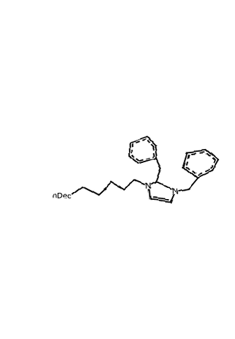 CCCCCCCCCCCCCCCN1C=CN(Cc2ccccc2)C1Cc1ccccc1